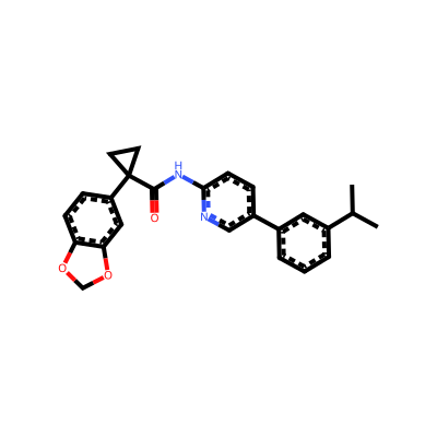 CC(C)c1cccc(-c2ccc(NC(=O)C3(c4ccc5c(c4)OCO5)CC3)nc2)c1